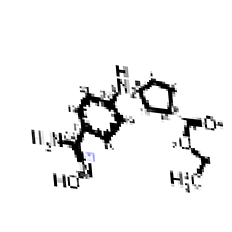 CCOC(=O)[C@H]1CC[C@@H](Nc2ccc(/C(N)=N/O)cc2)C1